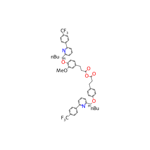 CCCC[C@@H](Oc1ccc(CCC(=O)OC(=O)CCc2ccc(O[C@H](CCCC)c3cccc(-c4ccc(C(F)(F)F)cc4)n3)c(OC)c2)cc1)c1cccc(-c2ccc(C(F)(F)F)cc2)n1